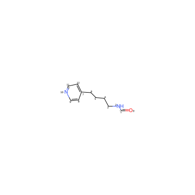 O=[C]NCCCCc1ccncc1